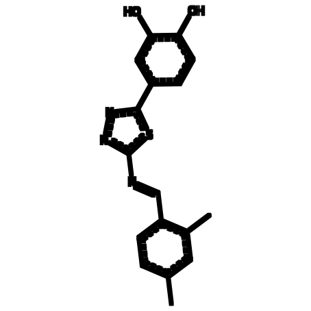 Cc1ccc(C=Nc2nnc(-c3ccc(O)c(O)c3)s2)c(C)c1